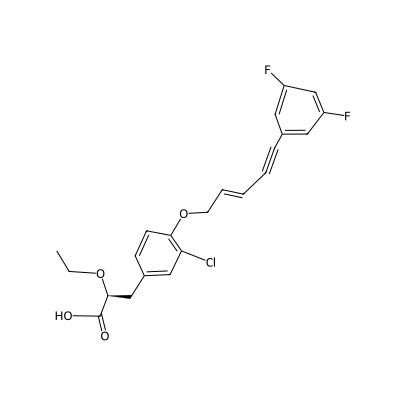 CCO[C@@H](Cc1ccc(OCC=CC#Cc2cc(F)cc(F)c2)c(Cl)c1)C(=O)O